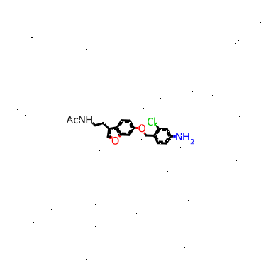 CC(=O)NCCc1coc2cc(OCc3ccc(N)cc3Cl)ccc12